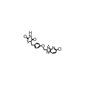 Cn1c(COc2ccc(CC3SC(=O)NC3=O)cc2)nc2ccc(Cl)nc21